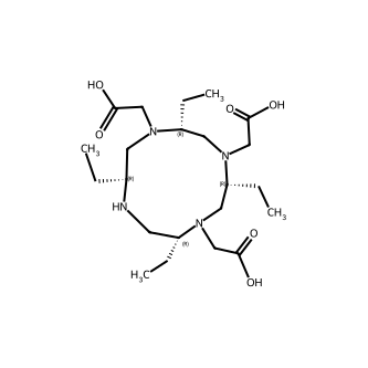 CC[C@@H]1CN(CC(=O)O)[C@H](CC)CN(CC(=O)O)[C@H](CC)CN(CC(=O)O)[C@H](CC)CN1